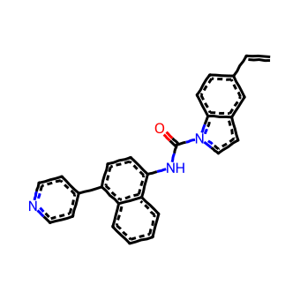 C=Cc1ccc2c(ccn2C(=O)Nc2ccc(-c3ccncc3)c3ccccc23)c1